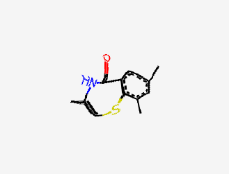 CC1=CSc2c(C)cc(C)cc2C(=O)N1